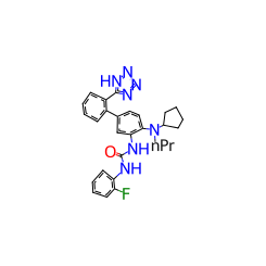 CCCN(c1ccc(-c2ccccc2-c2nnn[nH]2)cc1NC(=O)Nc1ccccc1F)C1CCCC1